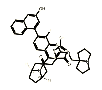 O=C1N=C(S)SC1CC(=O)N1[C@@H]2CC[C@H]1CN(c1nc(OCC34CCCN3CCC4)nc3c(F)c(-c4cc(O)cc5ccccc45)ccc13)C2